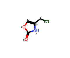 O=c1[nH]c(CCl)co1